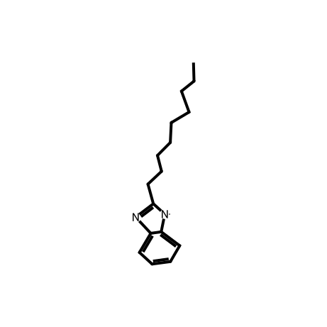 CCCCCCCCCC1=Nc2ccccc2[N]1